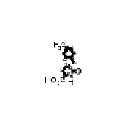 O=C(O)C1CCN(Cc2ccc(C(F)(F)F)cc2)C(=O)N1